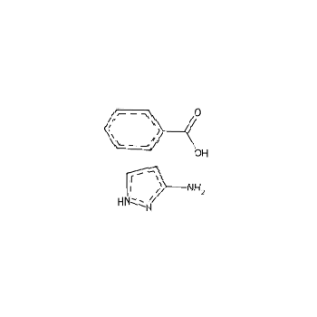 Nc1cc[nH]n1.O=C(O)c1ccccc1